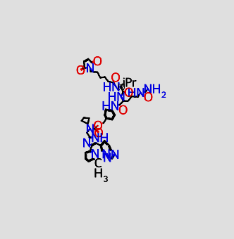 Cc1cccc(-c2nc(CN(C(=O)OCc3ccc(NC(=O)C(CCCNC(N)=O)NC(=O)[C@@H](NC(=O)CCCCCN4C(=O)C=CC4=O)C(C)C)cc3)C3CCC3)[nH]c2-c2ccc3ncnn3c2)n1